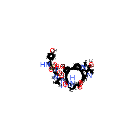 CCn1c(-c2cnccc2COC)c2c3cc(ccc31)-c1cc(O)cc(c1)C[C@H](NC(=O)C(C(C)C)N(C)C(=O)CN(C)S(=O)(=O)[C@@H]1N[C@H]1c1ccc(OC)cc1)C(=O)N1CCC[C@H](N1)C(=O)OCC(C)(C)C2